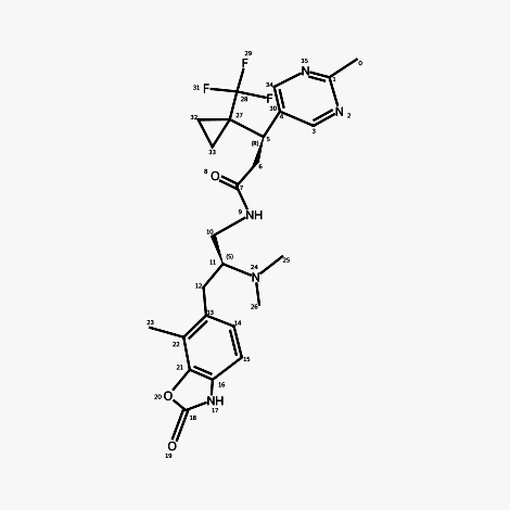 Cc1ncc([C@@H](CC(=O)NC[C@H](Cc2ccc3[nH]c(=O)oc3c2C)N(C)C)C2(C(F)(F)F)CC2)cn1